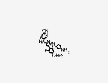 COc1cc(F)c(-c2cc(Nc3cnc(C#N)cn3)n[nH]2)c(O[C@@H]2CC[C@H](N)C2)c1